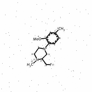 COc1cc(C)ccc1N1CCN(C)C(CF)C1